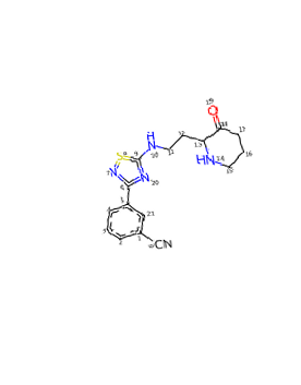 N#Cc1cccc(-c2nsc(NCCC3NCCCC3=O)n2)c1